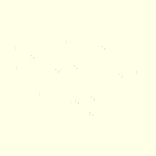 C=CC(=O)Nc1cc(Nc2nccc(-c3cn(C)c4cc(C#N)ccc34)n2)c(OC(F)F)cc1NCCN(C)C